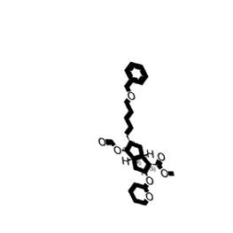 COC(=O)[C@H]1[C@@H]2C[C@@H](CCCCCOCc3ccccc3)[C@@H](OC=O)[C@@H]2C[C@H]1OC1CCCCO1